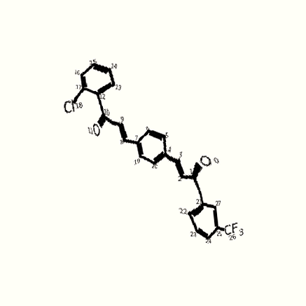 O=C(/C=C/c1ccc(/C=C/C(=O)c2ccccc2Cl)cc1)c1cccc(C(F)(F)F)c1